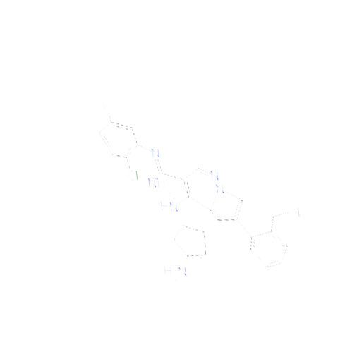 N/C(=N\c1cc(F)ccc1Cl)c1cnn2cc(-c3ccccc3CO)cc2c1N[C@@H]1CC[C@H](N)C1